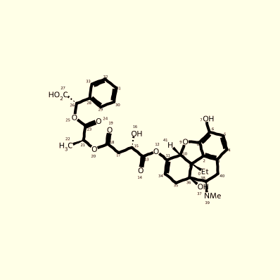 CC[C@]12c3c4ccc(O)c3O[C@H]1C(OC(=O)[C@@H](O)CC(=O)O[C@@H](C)C(=O)O[C@H](C(=O)O)c1ccccc1)=CC[C@@]2(O)[C@H](NC)C4